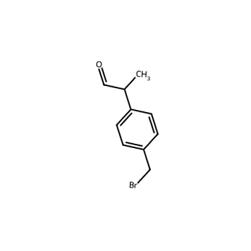 CC(C=O)c1ccc(CBr)cc1